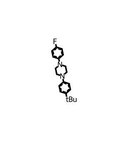 CC(C)(C)c1ccc(N2CCN(c3ccc(F)cc3)CC2)cc1